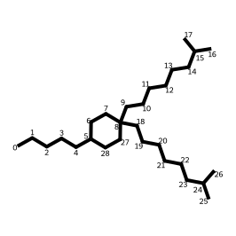 CCCCCC1CCC(CCCCCCC(C)C)(CCCCCCC(C)C)CC1